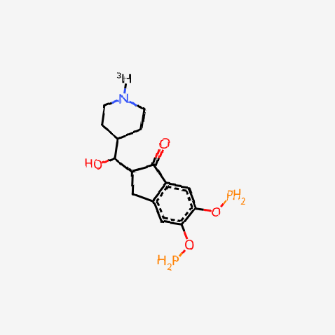 [3H]N1CCC(C(O)C2Cc3cc(OP)c(OP)cc3C2=O)CC1